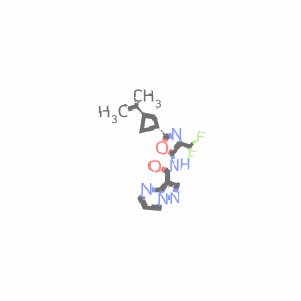 CC(C)[C@H]1C[C@H](c2nc(C(F)F)c(NC(=O)c3cnn4cccnc34)o2)C1